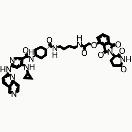 O=C(COc1cccc2c1C(=O)N(C1CCC(=O)NC1=O)C2=O)NCCCCNC(=O)[C@H]1CC[C@H](NC(=O)c2cnc(Nc3ccc4cnccc4n3)cc2NC2CC2)CC1